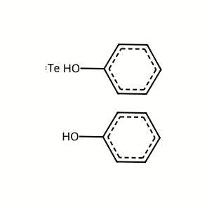 Oc1ccccc1.Oc1ccccc1.[Te]